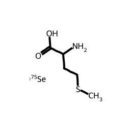 CSCCC(N)C(=O)O.[75Se]